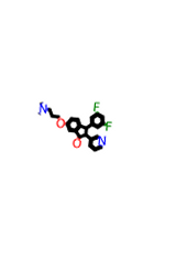 CN(C)CCCOc1ccc2c(c1)C(=O)C(c1cccnc1)C2c1cc(F)cc(F)c1